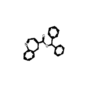 O=C(OC(c1ccccc1)c1ccccc1)C1=CC=Nc2ccccc2C1